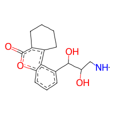 [NH]CC(O)C(O)c1cccc2oc(=O)c3c(c12)CCCC3